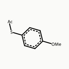 COc1ccc(SC(C)=O)cc1